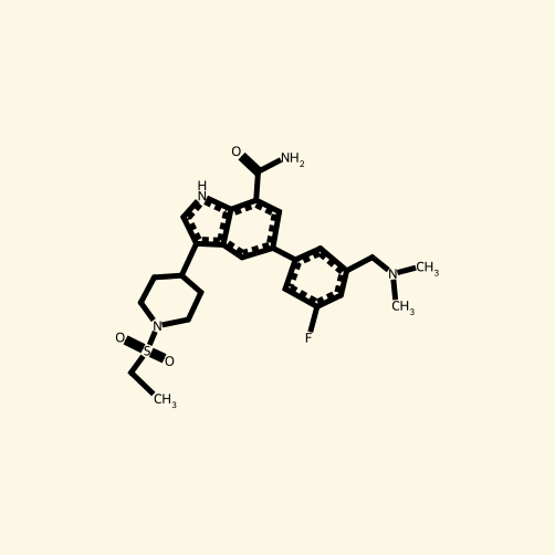 CCS(=O)(=O)N1CCC(c2c[nH]c3c(C(N)=O)cc(-c4cc(F)cc(CN(C)C)c4)cc23)CC1